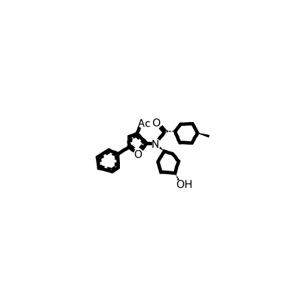 CC(=O)c1cc(-c2ccccc2)oc1N(C(=O)[C@H]1CC[C@H](C)CC1)[C@H]1CC[C@@H](O)CC1